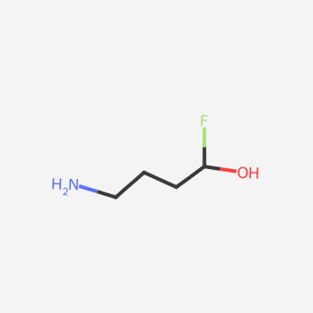 NCCCC(O)F